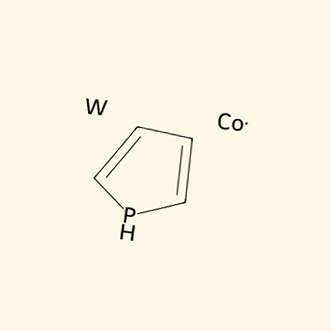 [Co].[W].c1cc[pH]c1